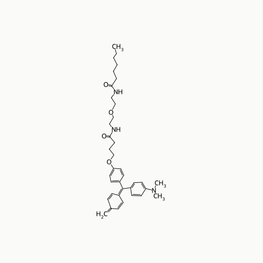 C=c1ccc(=C(c2ccc(OCCCC(=O)NCCOCCNC(=O)CCCCCC)cc2)c2ccc(N(C)C)cc2)cc1